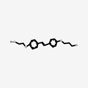 COCCOc1ccc(/C=C/c2ccc(OCCCC(C)C)cc2)cc1